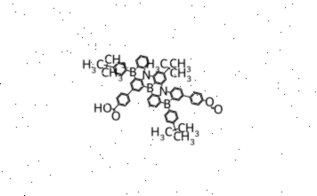 CC(C)(C)c1ccc(B2c3cc(-c4ccc(OC=O)cc4)ccc3N3c4cc(C(C)(C)C)cc5c4B(c4cccc2c43)c2cc(-c3ccc(C(=O)O)cc3)cc3c2N5c2ccccc2B3c2ccc(C(C)(C)C)cc2)cc1